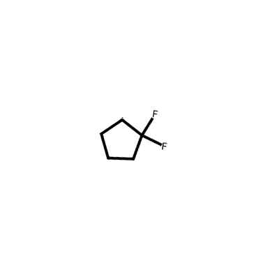 FC1(F)[CH]CCC1